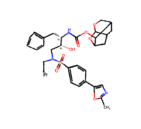 Cc1ncc(-c2ccc(S(=O)(=O)N(CC(C)C)C[C@@H](O)[C@H](Cc3ccccc3)NC(=O)OC3C4COC5OC3CC5C4)cc2)o1